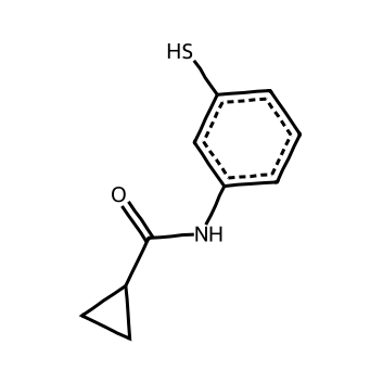 O=C(Nc1cccc(S)c1)C1CC1